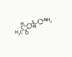 CC(C)C(=O)c1ccc2sc(-c3ccc(N)cc3)nc2c1